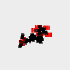 CCOP(=O)(CCCc1cccc(-c2ccccc2O[C@H]2O[C@H](CO)[C@@H](O)[C@H](O)[C@@H]2O)c1)OCC